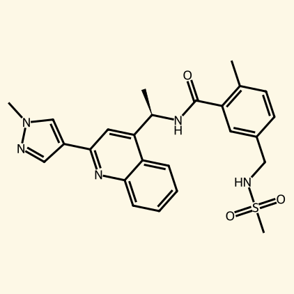 Cc1ccc(CNS(C)(=O)=O)cc1C(=O)N[C@H](C)c1cc(-c2cnn(C)c2)nc2ccccc12